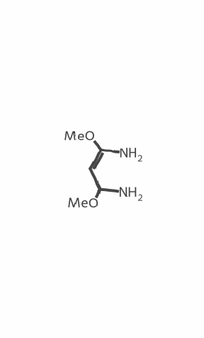 CO/C(N)=C/C(N)OC